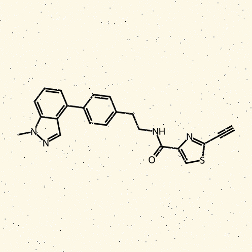 C#Cc1nc(C(=O)NCCc2ccc(-c3cccc4c3cnn4C)cc2)cs1